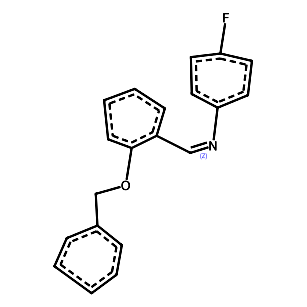 Fc1ccc(/N=C\c2ccccc2OCc2ccccc2)cc1